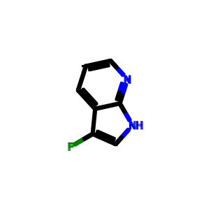 Fc1c[nH]c2nc[c]cc12